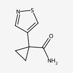 NC(=O)C1(c2cnsc2)CC1